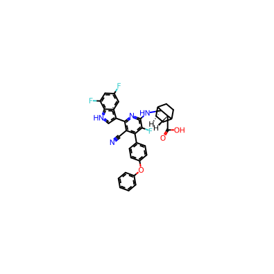 N#Cc1c(-c2c[nH]c3c(F)cc(F)cc23)nc(N[C@H]2C3CCC(CC3)[C@@H]2C(=O)O)c(F)c1-c1ccc(Oc2ccccc2)cc1